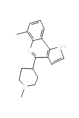 CN1CCC(c2nc3c(F)cccc3c3[nH]ccc23)CC1